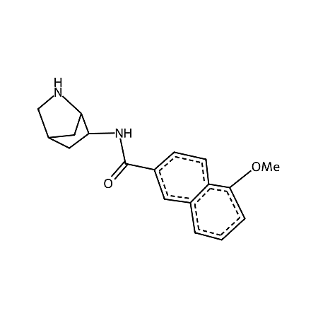 COc1cccc2cc(C(=O)NC3CC4CNC3C4)ccc12